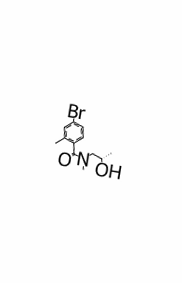 Cc1cc(Br)ccc1C(=O)N(C)C[C@H](C)O